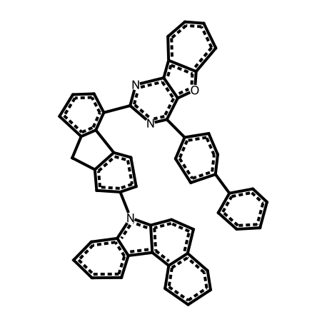 c1ccc(-c2ccc(-c3nc(-c4cccc5c4-c4ccc(-n6c7ccccc7c7c8ccccc8ccc76)cc4C5)nc4c3oc3ccccc34)cc2)cc1